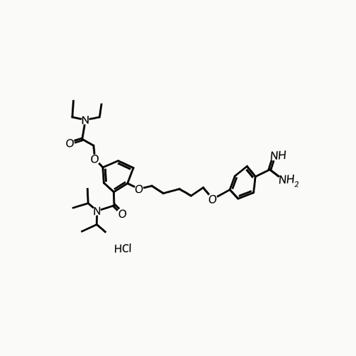 CCN(CC)C(=O)COc1ccc(OCCCCCOc2ccc(C(=N)N)cc2)c(C(=O)N(C(C)C)C(C)C)c1.Cl